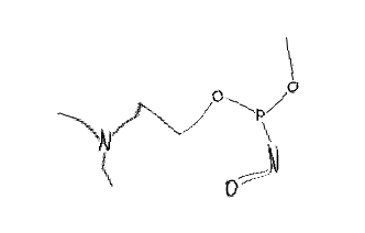 COP(N=O)OCCN(C)C